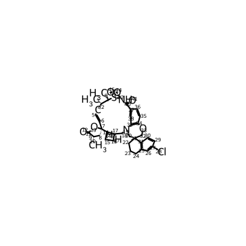 C[C@@H]1[C@@H](C)C/C=C/[C@@]2(C[C@H](C)C(=O)O2)[C@@H]2CC[C@H]2CN2C[C@@]3(CCCc4cc(Cl)ccc43)COc3ccc(cc32)C(=O)NS1(=O)=O